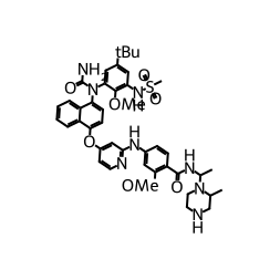 COc1cc(Nc2cc(Oc3ccc(N(C(N)=O)c4cc(C(C)(C)C)cc(NS(C)(=O)=O)c4OC)c4ccccc34)ccn2)ccc1C(=O)NC(C)N1CCNCC1C